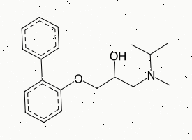 CC(C)N(C)CC(O)COc1ccccc1-c1ccccc1